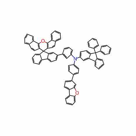 c1ccc(C2(c3ccccc3)c3ccccc3-c3cc(N(c4ccc(-c5ccc6c(c5)oc5ccccc56)cc4)c4cccc(-c5ccc6c(c5)C5(c7ccccc7-6)c6ccc7ccccc7c6Oc6c5ccc5ccccc65)c4)ccc32)cc1